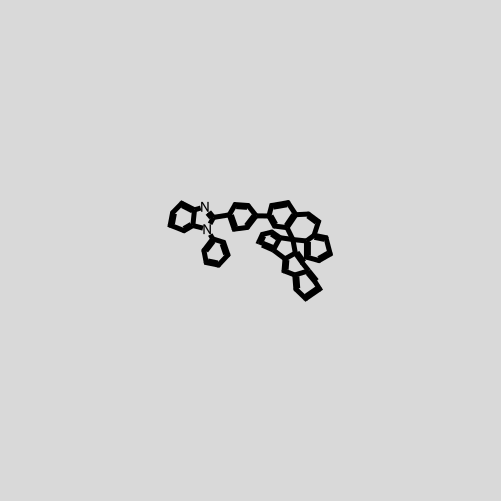 C1=Cc2ccc(-c3ccc(-c4nc5ccccc5n4-c4ccccc4)cc3)cc2C2(c3ccccc31)c1ccccc1-c1cc3ccccc3cc12